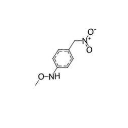 CONc1ccc(C[N+](=O)[O-])cc1